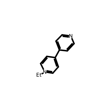 CC[n+]1ccc(-c2ccncc2)cc1